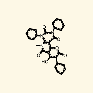 Cn1c(=O)c2c(O)c(-c3ccccc3)c(=O)oc2c2c(=O)n(-c3ccccc3)c(=O)n(-c3ccccc3)c21